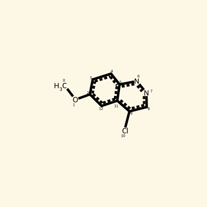 COc1ccc2nncc(Cl)c2c1